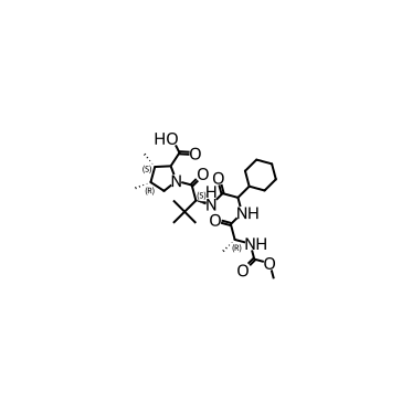 COC(=O)N[C@H](C)C(=O)NC(C(=O)N[C@H](C(=O)N1C[C@H](C)[C@H](C)C1C(=O)O)C(C)(C)C)C1CCCCC1